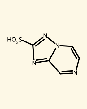 O=S(=O)(O)c1nc2cnccn2n1